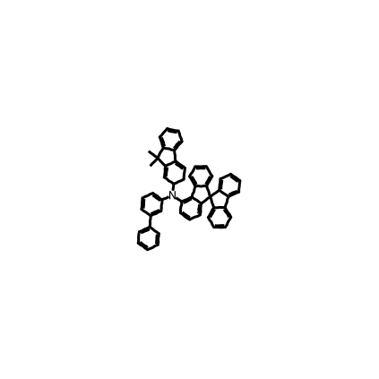 CC1(C)C2=CC(N(c3cccc(-c4ccccc4)c3)c3cccc4c3-c3ccccc3C43c4ccccc4-c4ccccc43)CC=C2c2ccccc21